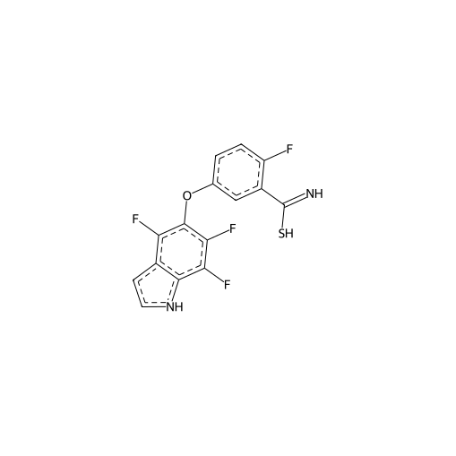 N=C(S)c1cc(Oc2c(F)c(F)c3[nH]ccc3c2F)ccc1F